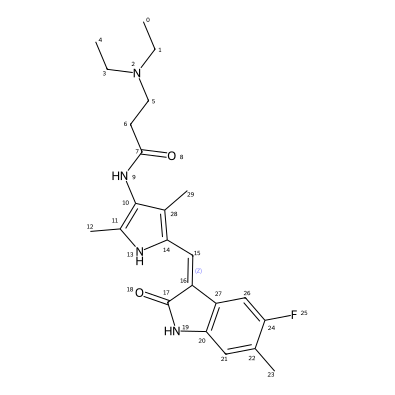 CCN(CC)CCC(=O)Nc1c(C)[nH]c(/C=C2\C(=O)Nc3cc(C)c(F)cc32)c1C